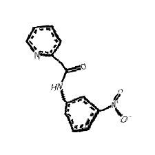 O=C(Nc1cccc([N+](=O)[O-])c1)c1ccccn1